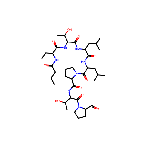 CCCC(=O)NC(CC)C(=O)NC(C(=O)NC(CC(C)C)C(=O)NC(CC(C)C)C(=O)N1CCCC1C(=O)NC(C(=O)N1CCCC1C=O)C(C)O)C(C)O